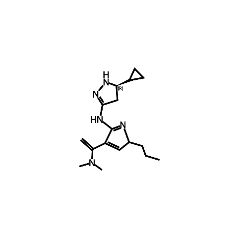 C=C(C1=CC(CCC)N=C1NC1=NN[C@@H](C2CC2)C1)N(C)C